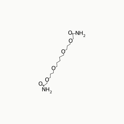 NC(=O)COCCCOCCCCCOCCCOCC(N)=O